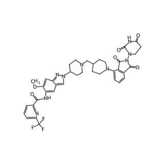 COc1cc2nn(C3CCN(CC4CCN(c5cccc6c5C(=O)N(N5CCC(=O)NC5=O)C6=O)CC4)CC3)cc2cc1NC(=O)c1cccc(C(F)(F)F)n1